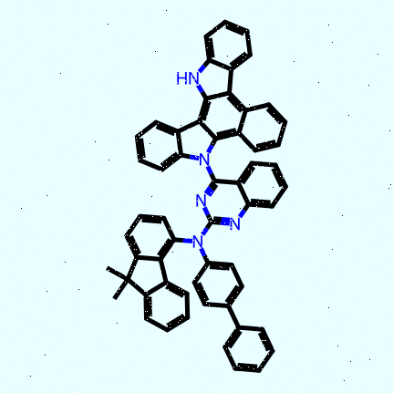 CC1(C)c2ccccc2-c2c(N(c3ccc(-c4ccccc4)cc3)c3nc(-n4c5ccccc5c5c6[nH]c7ccccc7c6c6ccccc6c54)c4ccccc4n3)cccc21